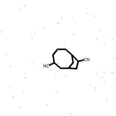 N#CC1CCCC2CC(C1)CC2C#N